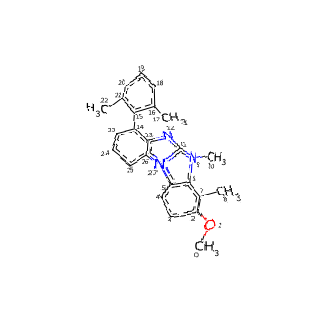 COc1ccc2c(c1C)n(C)c1nc3c(-c4c(C)cccc4C)cccc3n21